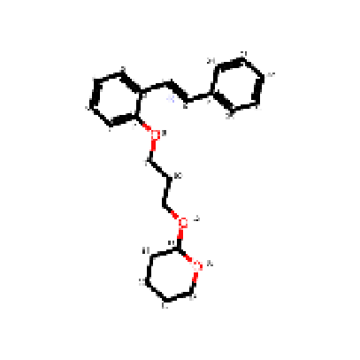 C(=C\c1ccccc1OCCCOC1CCCCO1)/c1ccccc1